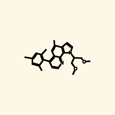 COCC(COC)n1ccc2c(C)cc3c(-c4c(C)cc(C)cc4C)ccnc3c21